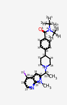 [2H]C([2H])([2H])N(C(=O)c1ccc(C2CCN([C@@H](C)c3cc4c(I)ccnc4n3C)CC2)cc1)C([2H])([2H])[2H]